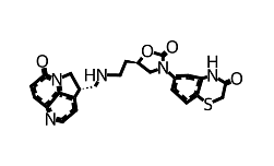 O=C1CSc2ccc(N3C[C@@H](CCNC[C@H]4Cn5c(=O)ccc6nccc4c65)OC3=O)cc2N1